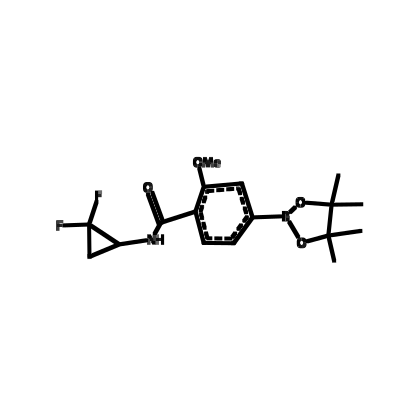 COc1cc(B2OC(C)(C)C(C)(C)O2)ccc1C(=O)NC1CC1(F)F